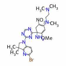 COC1=CC(N(C)CCN(C)C)=C([N+](=O)[O-])CC1(N)c1ncnc(N2CC(C)(C)c3nc(Br)ccc32)n1